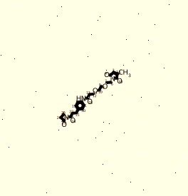 CC1=CC(=O)N(CCOCCOCCC(=O)Nc2ccc(CCC(=O)N3CCC3=O)cc2)C1=O